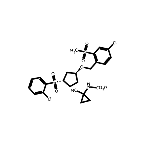 CS(=O)(=O)c1cc(Cl)ccc1CO[C@H]1CC[C@H](S(=O)(=O)c2ccccc2Cl)C1.N#CC1(NC(=O)O)CC1